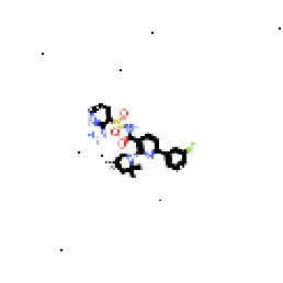 C[C@@H]1CN(c2nc(-c3cccc(F)c3)ccc2C(=O)NS(=O)(=O)c2cccnc2N)C(C)(C)C1